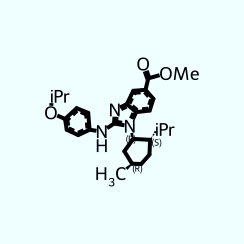 COC(=O)c1ccc2c(c1)nc(Nc1ccc(OC(C)C)cc1)n2[C@@H]1C[C@H](C)CC[C@H]1C(C)C